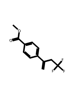 C=C(CC(F)(F)F)c1ccc(C(=O)OC)cc1